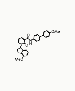 COc1ccc(-c2ccc(NC(=O)c3cccn(C4CCc5c(OC)cccc54)c3=O)cc2)cc1